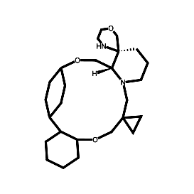 C1CCC2C3CCC(CC3)OC[C@H]3N(CCC[C@]34COCCN4)CC3(CC3)COC2C1